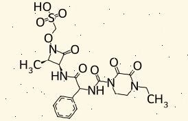 CCN1CCN(C(=O)NC(C(=O)N[C@@H]2C(=O)N(OCS(=O)(=O)O)[C@@H]2C)c2ccccc2)C(=O)C1=O